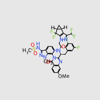 COc1ccc2c(=O)n(-c3cccc4c(NS(C)(=O)=O)nn(C)c34)c([C@H](Cc3cc(F)cc(F)c3)NC(=O)Cn3nc(C(F)F)c4c3C(F)(F)[C@@H]3C[C@H]43)nc2c1